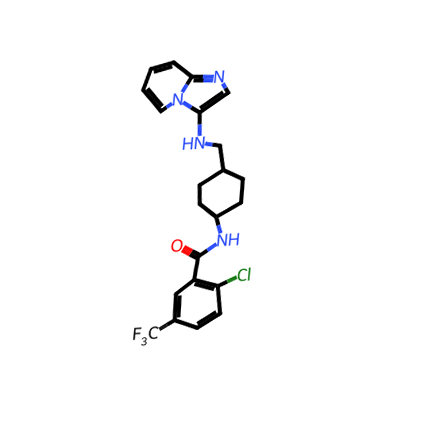 O=C(NC1CCC(CNc2cnc3ccccn23)CC1)c1cc(C(F)(F)F)ccc1Cl